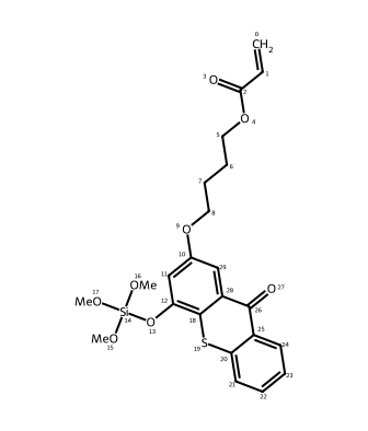 C=CC(=O)OCCCCOc1cc(O[Si](OC)(OC)OC)c2sc3ccccc3c(=O)c2c1